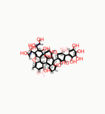 Bc1c(O)c(O)c(O)c(O)c1-c1c(B)c(O)c(-c2c3ccccc3c(-c3c(O)c(B)c(C)c4oc5c(/C(O)=C(\C)O)c(/C(O)=C/O)c(O)c(O)c5c34)c3ccccc23)c(O)c1O